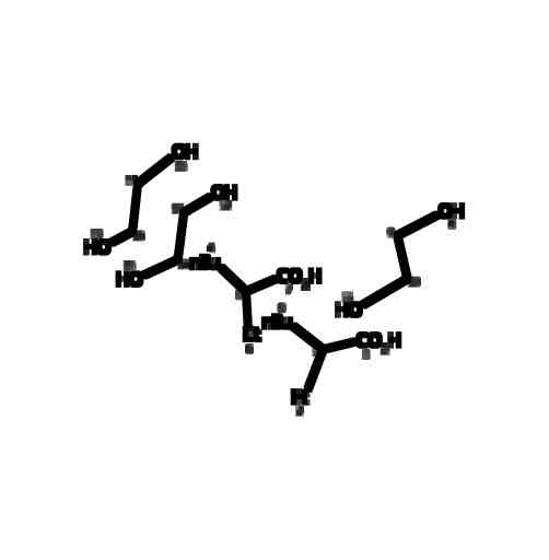 CCCCC(CC)C(=O)O.CCCCC(CC)C(=O)O.OCCO.OCCO.OCCO